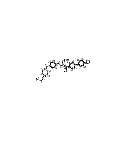 CN1CCN(Cc2ccc(CCNC(=O)c3ccc(-c4ccc(Cl)cc4)cc3F)cc2)CC1